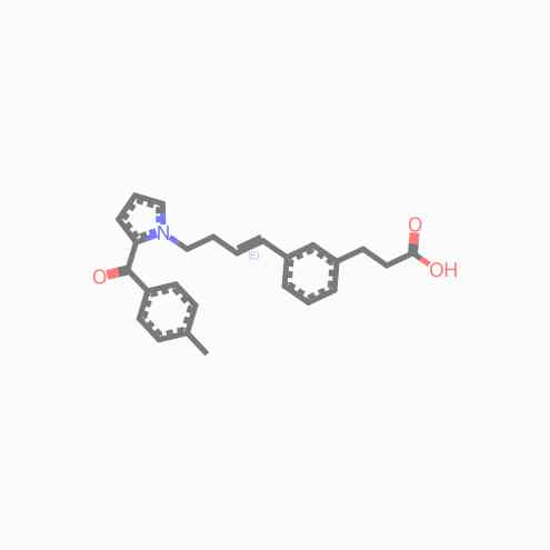 Cc1ccc(C(=O)c2cccn2CC/C=C/c2cccc(CCC(=O)O)c2)cc1